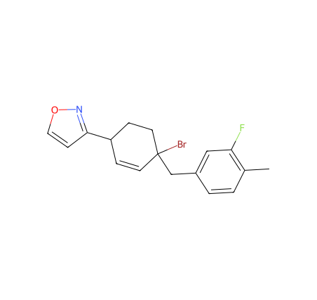 Cc1ccc(CC2(Br)C=CC(c3ccon3)CC2)cc1F